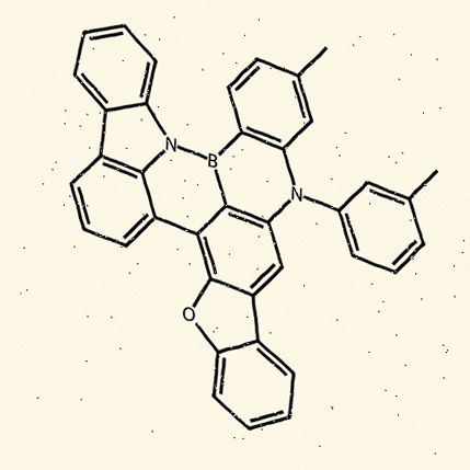 Cc1cccc(N2c3cc(C)ccc3B3c4c2cc2c(oc5ccccc52)c4-c2cccc4c5ccccc5n3c24)c1